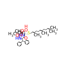 CC(C)=CCC/C(C)=C/CC/C(C)=C/CSC[C@H](NC(=O)C(NC(=O)OC(C)(C)C)C(c1ccccc1)c1ccccc1)C(=O)O